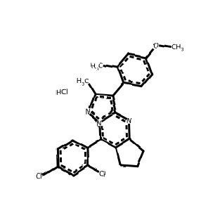 COc1ccc(-c2c(C)nn3c(-c4ccc(Cl)cc4Cl)c4c(nc23)CCC4)c(C)c1.Cl